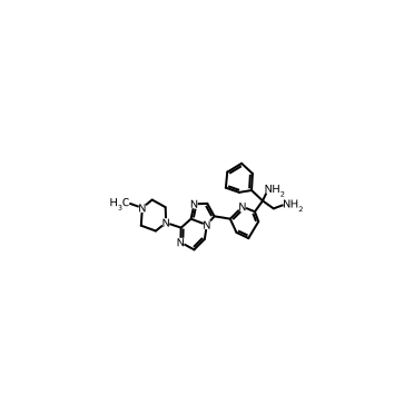 CN1CCN(c2nccn3c(-c4cccc(C(N)(CN)c5ccccc5)n4)cnc23)CC1